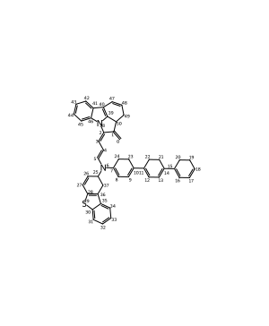 C=C1/C(=C\C=C\N(C2=CC=C(C3=CC=C(C4=CC=CCC4)CC3)CC2)C2C=Cc3sc4ccccc4c3C2)n2c3c(c4ccccc42)C=CCC13